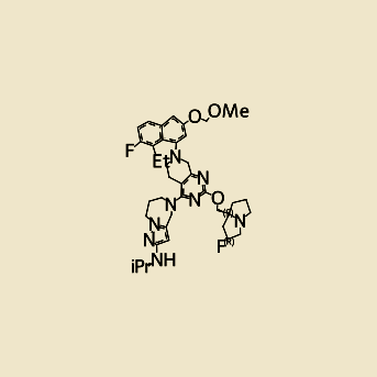 CCc1c(F)ccc2cc(OCOC)cc(N3CCc4c(nc(OC[C@@]56CCCN5C[C@H](F)C6)nc4N4CCCn5nc(NC(C)C)cc5C4)C3)c12